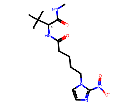 CNC(=O)[C@@H](NC(=O)CCCCn1ccnc1[N+](=O)[O-])C(C)(C)C